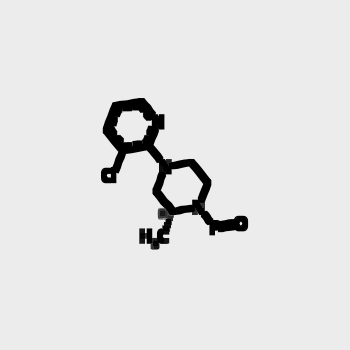 C[C@@H]1CN(c2ncccc2Cl)CCN1P=O